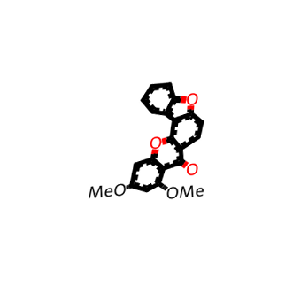 COc1cc(OC)c2c(=O)c3ccc4oc5ccccc5c4c3oc2c1